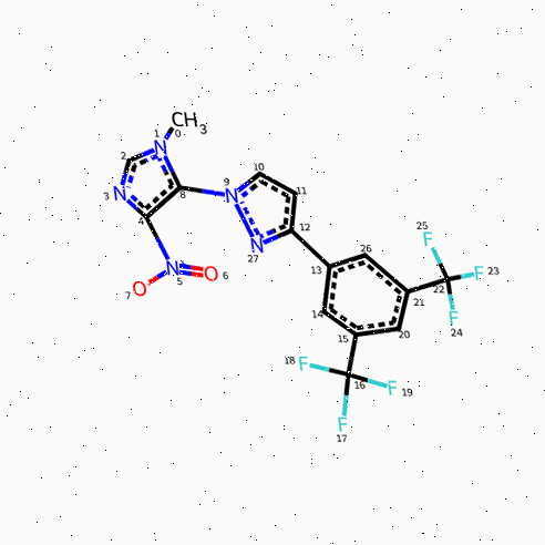 Cn1cnc([N+](=O)[O-])c1-n1ccc(-c2cc(C(F)(F)F)cc(C(F)(F)F)c2)n1